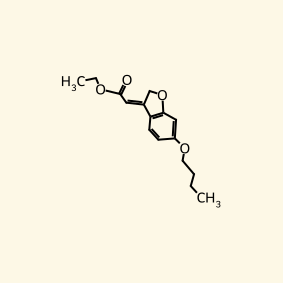 CCCCOc1ccc2c(c1)OC/C2=C\C(=O)OCC